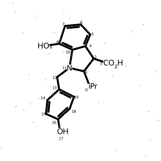 CC(C)C1C(C(=O)O)c2cccc(O)c2N1Cc1ccc(O)cc1